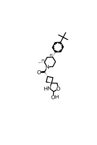 C[C@@H]1C[C@H](c2ccc(C(C)(C)C)cc2)CCN1C(=O)[C@H]1C[C@]2(COC(O)N2)C1